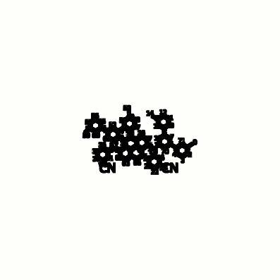 Cc1cccc(-c2cc(-c3cccc(C)c3)cc(N(c3cccc(C#N)c3)c3ccc4ccc5c(N(c6cccc(C#N)c6)c6cc(-c7cccc(C)c7)cc(-c7cccc(C)c7)c6)ccc6ccc3c4c65)c2)c1